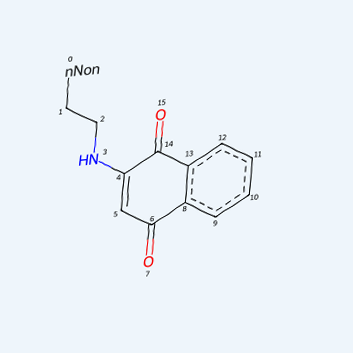 CCCCCCCCCCCNC1=CC(=O)c2ccccc2C1=O